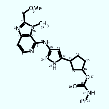 COCc1nc2ccnc(Nc3cc(C4CCC(OC(=O)NC(C)C)C4)[nH]n3)c2n1C